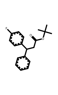 CC(C)(C)OC(=O)CC(c1ccccc1)c1ccc(F)cc1